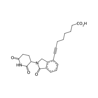 O=C(O)CCCCCC#Cc1cccc2c1CN(C1CCC(=O)NC1=O)C2=O